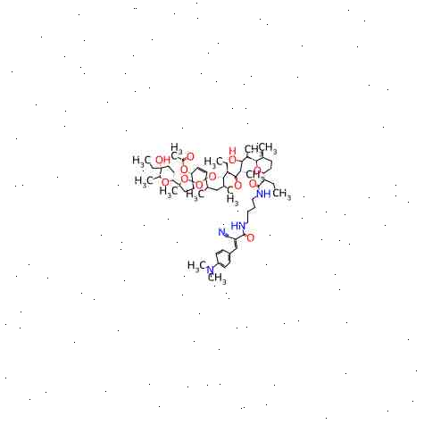 CCC(C(=O)NCCCCNC(=O)/C(C#N)=C/c1ccc(N(C)C)cc1)[C@H]1CC[C@H](C)[C@H](C(C)C(O)[C@H](C)C(=O)[C@H](CC)[C@H]2O[C@]3(C=C[C@@H](OC(C)=O)[C@]4(CC[C@@](C)([C@H]5CC[C@](O)(CC)C(C)O5)O4)O3)C(C)CC2C)O1